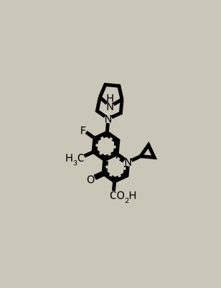 Cc1c(F)c(N2CC3CCC(C2)N3)cc2c1c(=O)c(C(=O)O)cn2C1CC1